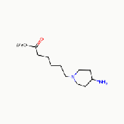 COC(=O)CCCCCN1CCC(N)CC1